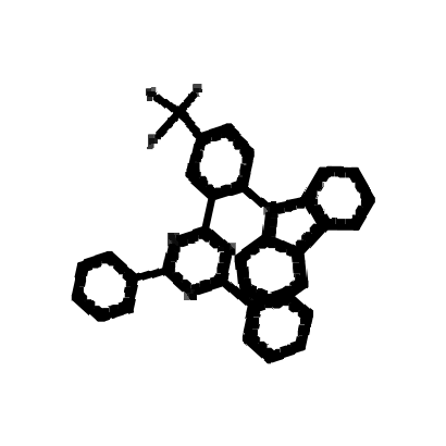 FC(F)(F)c1ccc(-n2c3ccccc3c3ccccc32)c(-c2nc(-c3ccccc3)nc(-c3ccccc3)n2)c1